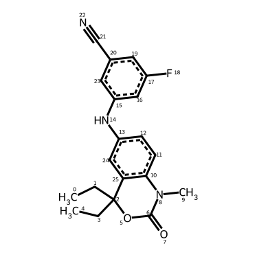 CCC1(CC)OC(=O)N(C)c2ccc(Nc3cc(F)cc(C#N)c3)cc21